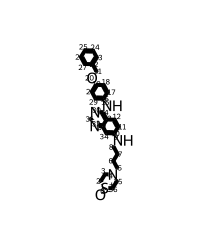 [O-][S+]1CCN(CCCCNc2ccc3c(Nc4ccc(OCc5ccccc5)cc4)ncnc3c2)CC1